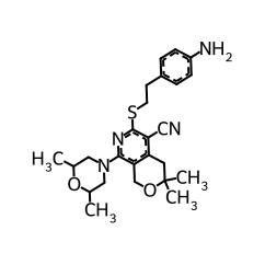 CC1CN(c2nc(SCCc3ccc(N)cc3)c(C#N)c3c2COC(C)(C)C3)CC(C)O1